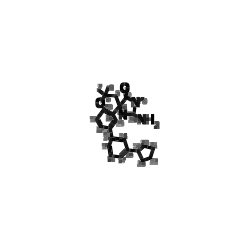 CN1C(=O)C2(CC(C)(C)Oc3ccc(-c4cccc(C5CCCC5)c4)cc32)N=C1N